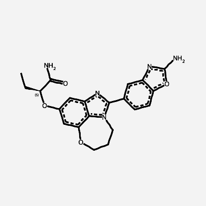 CC[C@H](Oc1cc2c3c(c1)nc(-c1ccc4oc(N)nc4c1)n3CCCO2)C(N)=O